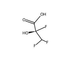 O=C(O)[C@](O)(F)C(F)F